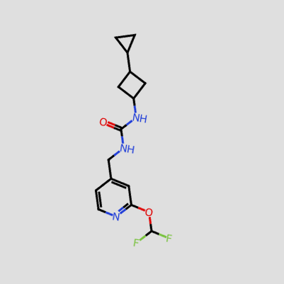 O=C(NCc1ccnc(OC(F)F)c1)NC1CC(C2CC2)C1